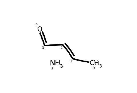 CC=CC=O.N